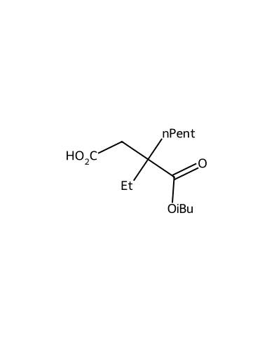 CCCCCC(CC)(CC(=O)O)C(=O)OCC(C)C